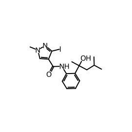 CC(C)CC(C)(O)c1ccccc1NC(=O)c1cn(C)nc1I